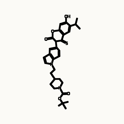 CC(C)c1cc2c(cc1O)OC(=O)C(c1ccc3c(ccn3CCC3CCN(C(=O)OC(C)(C)C)CC3)c1)C2=S